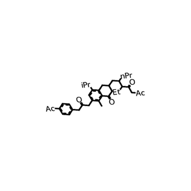 CCCC(CC1CC(=O)c2c(C)c(CC(=O)Cc3ccc(C(C)=O)cc3)cc(C(C)C)c2C1)C(CC)C(=O)CC(C)=O